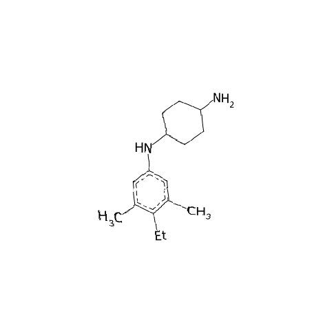 CCc1c(C)cc(NC2CCC(N)CC2)cc1C